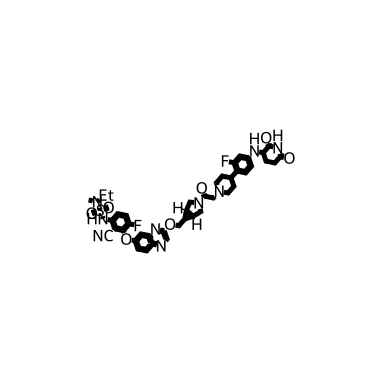 CCN(C)S(=O)(=O)Nc1ccc(F)c(Oc2ccc3ncc(OCC4[C@H]5CN(C(=O)CN6CCC(c7ccc(NC8CCC(=O)NC8=O)cc7F)CC6)C[C@@H]45)nc3c2)c1C#N